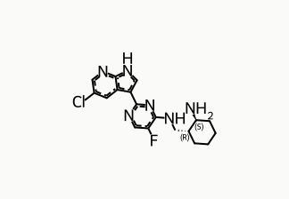 N[C@H]1CCCC[C@@H]1CNc1nc(-c2c[nH]c3ncc(Cl)cc23)ncc1F